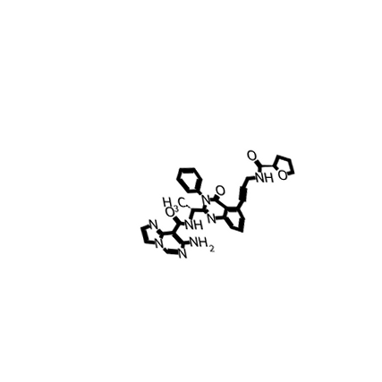 C[C@@H](NC(=O)c1c(N)ncn2ccnc12)c1nc2cccc(C#CCNC(=O)[C@H]3CCCO3)c2c(=O)n1-c1ccccc1